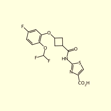 O=C(O)c1csc(NC(=O)C2CC(Oc3cc(F)ccc3OC(F)F)C2)n1